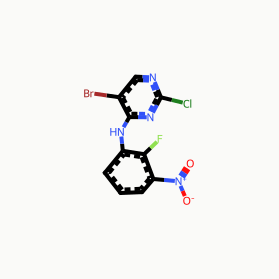 O=[N+]([O-])c1cccc(Nc2nc(Cl)ncc2Br)c1F